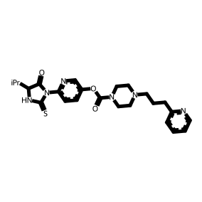 CC(C)C1NC(=S)N(c2ccc(OC(=O)N3CCN(CCCc4ccccn4)CC3)cn2)C1=O